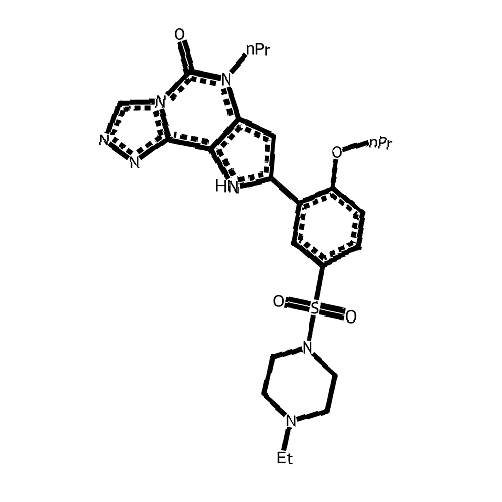 CCCOc1ccc(S(=O)(=O)N2CCN(CC)CC2)cc1-c1cc2c([nH]1)c1nncn1c(=O)n2CCC